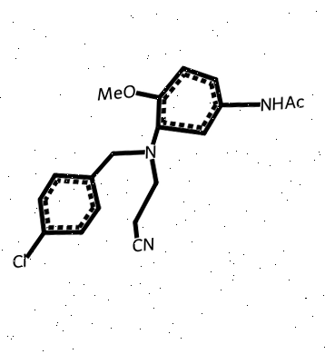 COc1ccc(NC(C)=O)cc1N(CCC#N)Cc1ccc(Cl)cc1